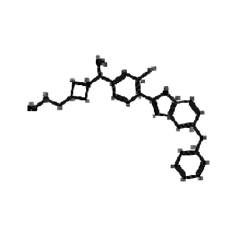 CC(c1ccc(-c2cc3cc(Cc4ccccc4)ccc3o2)c(F)c1)N1CC(COO)C1